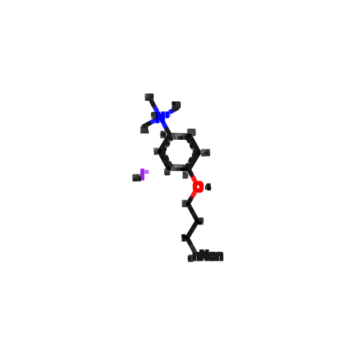 CCCCCCCCCCCCOc1ccc([N+](C)(C)C)cc1.[I-]